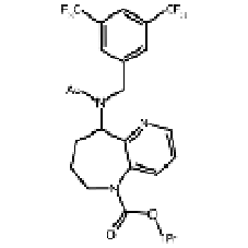 CC(=O)N(Cc1cc(C(F)(F)F)cc(C(F)(F)F)c1)C1CCCN(C(=O)OC(C)C)c2cccnc21